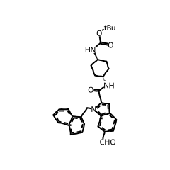 CC(C)(C)OC(=O)N[C@H]1CC[C@H](NC(=O)c2cc3ccc(C=O)cc3n2Cc2cccc3ccccc23)CC1